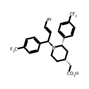 CC(C)C=C[C@H](c1ccc(C(F)(F)F)cc1)N1CC[C@@H](CC(=O)O)C[C@H]1c1ccc(C(F)(F)F)cc1